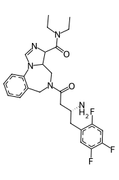 CCN(CC)C(=O)C1N=CN2c3ccccc3CN(C(=O)C[C@H](N)Cc3cc(F)c(F)cc3F)CC12